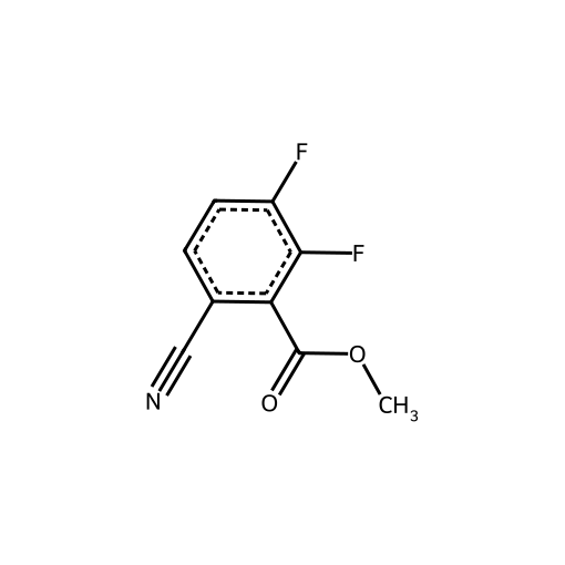 COC(=O)c1c(C#N)ccc(F)c1F